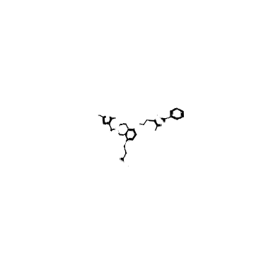 Cc1oc(-c2ccccc2)nc1CCOc1ccc(CCC(=O)O)c2c1CCN(C(=O)c1cc(Cl)sc1Cl)C2